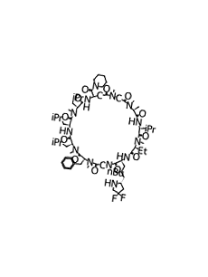 CCCCN1CC(=O)N(C)[C@@H](Cc2ccccc2)C(=O)N(C)[C@@H](CC(C)C)C(=O)N[C@@H](CC(C)C)C(=O)N(C)[C@@H](CC(C)C)C(=O)NC(C(=O)N2CCCCC2)CC(=O)N(C)CC(=O)N(C)[C@@H](C)C(=O)N[C@@H](C(C)C)C(=O)N(C)[C@@H](CC)C(=O)N[C@@H](CCC[C@@H]2CC(F)(F)CN2)C1=O